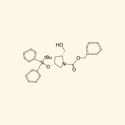 CC(C)(C)[Si](O[C@@H]1C[C@H](CO)N(C(=O)OCc2ccccc2)C1)(c1ccccc1)c1ccccc1